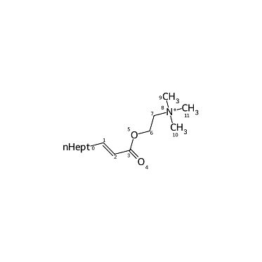 CCCCCCCC=CC(=O)OCC[N+](C)(C)C